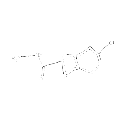 NNC(=O)c1nc2ccc(Cl)cc2s1